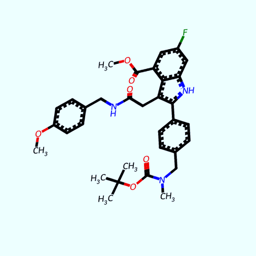 COC(=O)c1cc(F)cc2[nH]c(-c3ccc(CN(C)C(=O)OC(C)(C)C)cc3)c(CC(=O)NCc3ccc(OC)cc3)c12